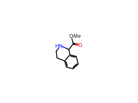 COC(=O)C1NCCc2ccccc21